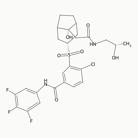 C[C@H](O)CNC(=O)C[C@]1(O)C2CCC1C[C@@H](S(=O)(=O)c1cc(C(=O)Nc3cc(F)c(F)c(F)c3)ccc1Cl)C2